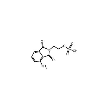 Nc1cccc2c1C(=O)N(CCOS(=O)(=O)O)C2=O